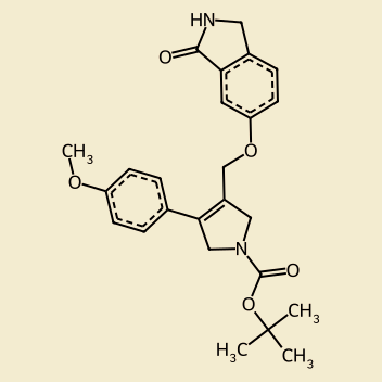 COc1ccc(C2=C(COc3ccc4c(c3)C(=O)NC4)CN(C(=O)OC(C)(C)C)C2)cc1